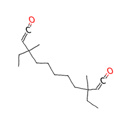 CCC(C)(C=C=O)CCCCCC(C)(C=C=O)CC